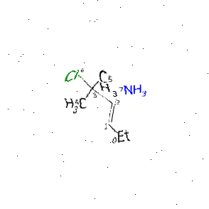 CCC=CC(C)(C)Cl.N